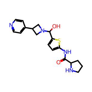 O=C(Nc1ccc(C(O)N2CC(c3ccncc3)C2)s1)C1CCCN1